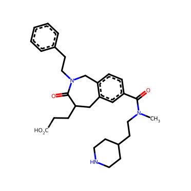 CN(CCC1CCNCC1)C(=O)c1ccc2c(c1)CC(CCC(=O)O)C(=O)N(CCc1ccccc1)C2